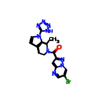 CC1c2c(ccn2-c2nnn[nH]2)CCN1C(=O)c1cc2ncc(Br)cn2n1